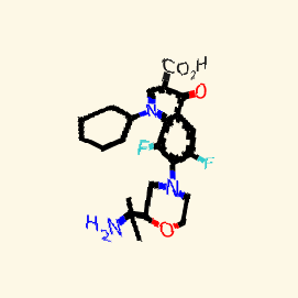 CC(C)(N)C1CN(c2c(F)cc3c(=O)c(C(=O)O)cn(C4CCCCC4)c3c2F)CCO1